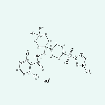 Cl.Cn1cnc(S(=O)(=O)N2CCN(C3(CNC(=O)c4c(Cl)cccc4C(F)(F)F)CCC(F)(F)CC3)CC2)c1